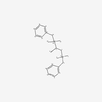 CC(C[N+](C)(C)Cc1ccccc1)[N+](C)(C)Cc1ccccc1